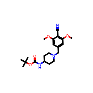 COc1cc(CN2CCC(NC(=O)OC(C)(C)C)CC2)cc(OC)c1C#N